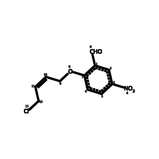 O=Cc1cc([N+](=O)[O-])ccc1OC/C=C\CCl